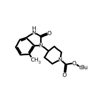 Cc1cccc2[nH]c(=O)n(C3CCN(C(=O)OC(C)(C)C)CC3)c12